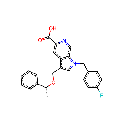 C[C@@H](OCc1cn(Cc2ccc(F)cc2)c2cnc(C(=O)O)cc12)c1ccccc1